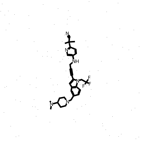 CN(C)C1CCN(Cc2ccc3c(c2)cc(C#CCNc2ccc(C(C)(C)C#N)nc2)n3CC(F)(F)F)CC1